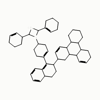 C1=CC2=C(C3=CCC(N4C(C5=CCCCC5)NC4C4C=CCCC4)CC3)C(C3C=CC4C(C3)C3C=CCCC3C3CCCCC43)CCC2C=C1